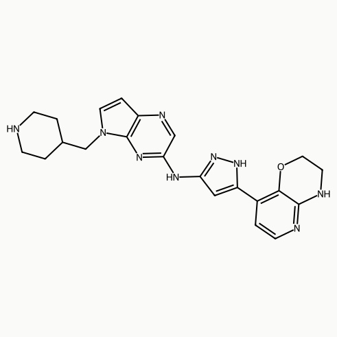 c1cc(-c2cc(Nc3cnc4ccn(CC5CCNCC5)c4n3)n[nH]2)c2c(n1)NCCO2